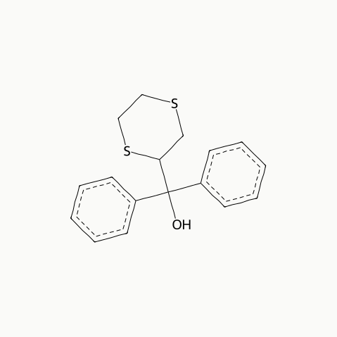 OC(c1ccccc1)(c1ccccc1)C1CSCCS1